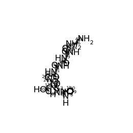 CN[C@@H](Cc1c[nH]c2ccccc12)C(=O)N[C@@H](CC(=O)O)C(=O)N1CCCC1C(=O)NCC(=O)NCC(=O)NCC(=O)N[C@@H](CCCCN)C(N)=O